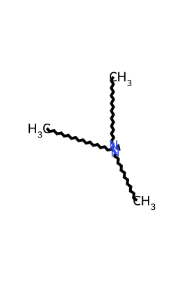 CCCCCCCCCCCCCCCCCCC1N(CCCCCCCCCCCCCC)C=CN1CCCCCCCCCCCCCCCCCC